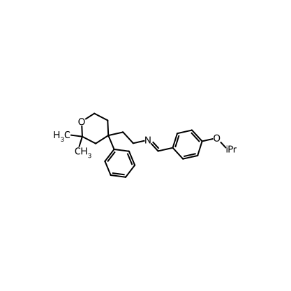 CC(C)Oc1ccc(/C=N/CCC2(c3ccccc3)CCOC(C)(C)C2)cc1